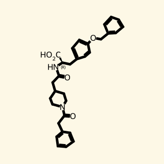 O=C(CC1CCN(C(=O)Cc2ccccc2)CC1)N[C@H](Cc1ccc(OCc2ccccc2)cc1)C(=O)O